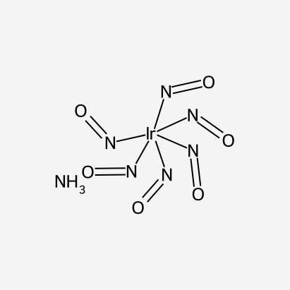 N.O=[N][Ir]([N]=O)([N]=O)([N]=O)([N]=O)[N]=O